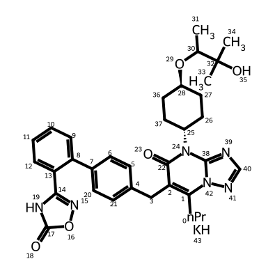 CCCc1c(Cc2ccc(-c3ccccc3-c3noc(=O)[nH]3)cc2)c(=O)n([C@H]2CC[C@H](OC(C)C(C)(C)O)CC2)c2ncnn12.[KH]